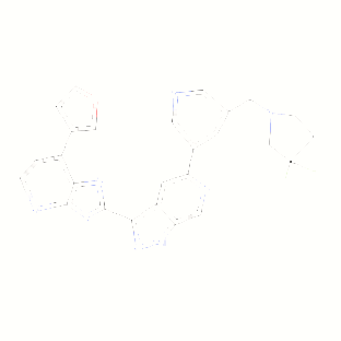 FC1(F)CCN(Cc2cncc(-c3cc4c(-c5nc6c(-c7ccoc7)ccnc6[nH]5)n[nH]c4cn3)c2)C1